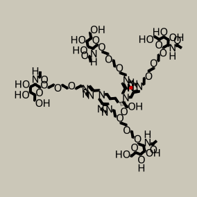 CC(=O)NC1C(OCCOCCOCCn2cc(CN(CCCC[C@@H](C(=O)O)N(Cc3cn(CCOCCOCCOC4OC(CO)C(O)C(O)C4NC(C)=O)nn3)Cc3cn(CCOCCOCCOC4OC(CO)C(O)C(O)C4NC(C)=O)nn3)Cc3cn(CCOCCOCCOC4OC(CO)C(O)C(O)C4NC(C)=O)nn3)nn2)OC(CO)C(O)C1O